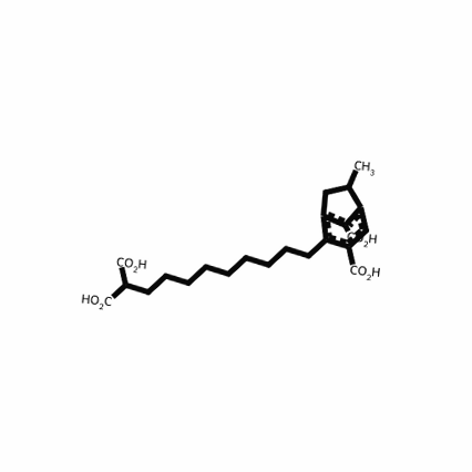 CC1Cc2c(CCCCCCCCCC(C(=O)O)C(=O)O)c(C(=O)O)cc1c2C(=O)O